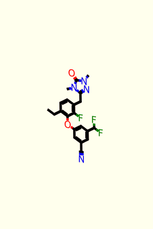 CCc1ccc(Cc2nn(C)c(=O)n2C)c(F)c1Oc1cc(C#N)cc(C(F)F)c1